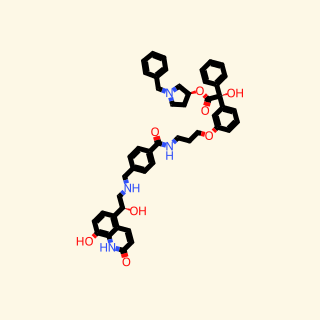 O=C(NCCCOc1cccc([C@@](O)(C(=O)O[C@H]2CCN(Cc3ccccc3)C2)c2ccccc2)c1)c1ccc(CNC[C@H](O)c2ccc(O)c3[nH]c(=O)ccc23)cc1